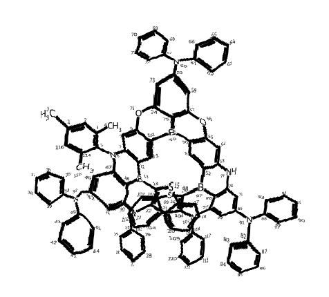 Cc1cc(C)c(N2c3cc4c(cc3B3c5sc6ccccc6c5N(c5ccccc5)c5cc(N(c6ccccc6)c6ccccc6)cc2c53)B2c3cc5c(cc3Oc3cc(N(c6ccccc6)c6ccccc6)cc(c32)O4)Nc2cc(N(c3ccccc3)c3ccccc3)cc3c2B5c2sc4ccccc4c2N3c2ccccc2)c(C)c1